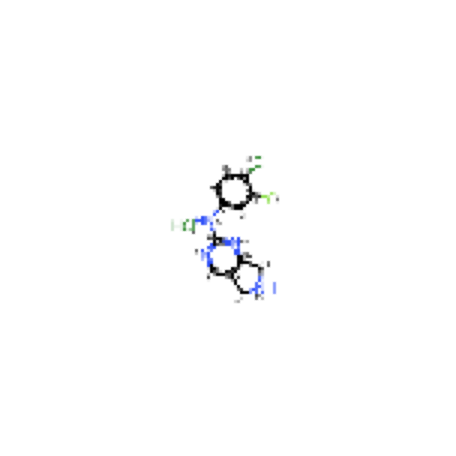 Cl.Fc1cc(Nc2ncc3c(n2)CNC3)ccc1Cl